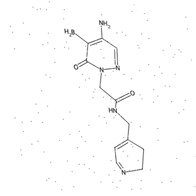 Bc1c(N)cnn(CC(=O)NCC2=CC=NCC2)c1=O